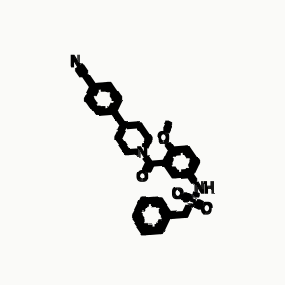 COc1ccc(NS(=O)(=O)Cc2ccccc2)cc1C(=O)N1CCC(c2ccc(C#N)cc2)CC1